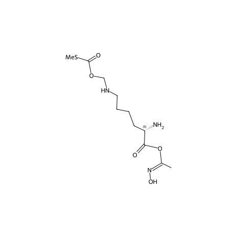 CSC(=O)OCNCCCC[C@H](N)C(=O)OC(C)=NO